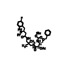 CC(=O)O[C@H](C(=O)NCC(C)(C)CNC(=O)CC(Cc1cc(F)ccc1F)NC(C)C)[C@@H](COCc1ccccc1)NC(=O)OC(C)(C)C